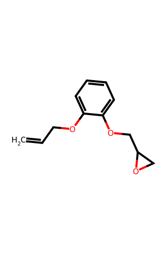 C=CCOc1ccccc1OCC1CO1